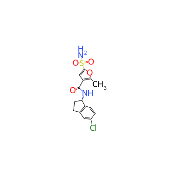 Cc1oc(S(N)(=O)=O)cc1C(=O)N[C@@H]1CCc2cc(Cl)ccc21